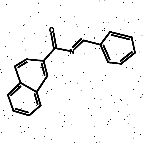 O=C(/N=C/c1ccccc1)c1ccc2ccccc2c1